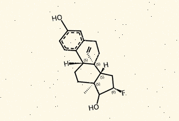 C=C[C@@]12CCc3cc(O)ccc3[C@H]1CC[C@]1(C)C(O)[C@H](F)C[C@@H]21